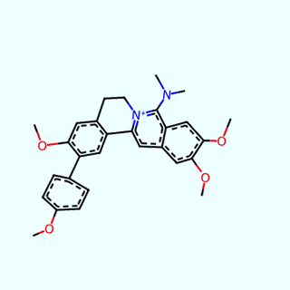 COc1ccc(-c2cc3c(cc2OC)CC[n+]2c-3cc3cc(OC)c(OC)cc3c2N(C)C)cc1